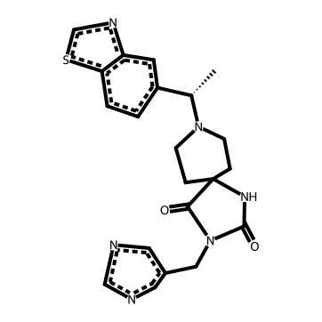 C[C@@H](c1ccc2scnc2c1)N1CCC2(CC1)NC(=O)N(Cc1cncnc1)C2=O